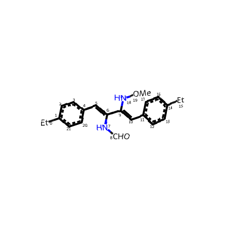 CCc1ccc(/C=C(NC=O)/C(=C/c2ccc(CC)cc2)NOC)cc1